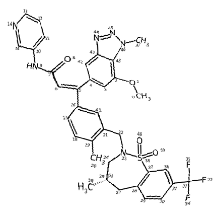 COc1cc(C(=CC(=O)Nc2cccnc2)c2ccc(C)c(CN3C[C@@H](C)Cc4ccc(C(F)(F)F)cc4S3(=O)=O)c2)cc2nnn(C)c12